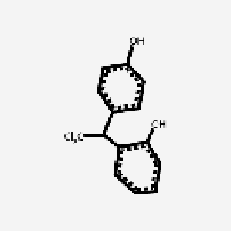 Oc1ccc(C(c2ccccc2O)C(Cl)(Cl)Cl)cc1